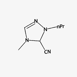 CCCN1N=CN(C)C1C#N